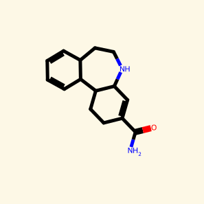 NC(=O)C1=CC2NCCC3C=CC=CC3C2CC1